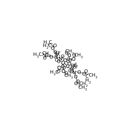 C=C(CC)C(=O)OCCOCCN(CCOCCOC(=O)C(=C)CC)C(=O)C(CC(F)(F)F)N1C(=O)c2cc(Oc3cccc(OC)c3)c3c4c(Oc5cccc(OC)c5)cc5c6c(cc(Oc7cccc(OC)c7)c(c7c(Oc8cccc(OC)c8)cc(c2c37)C1=O)c64)C(=O)N(C(CC(F)(F)F)C(=O)N(CCOCCOC(=O)C(=C)CC)CCOCCOC(=O)C(=C)CC)C5=O